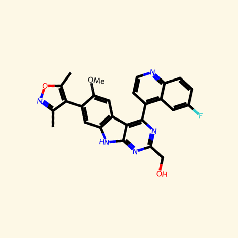 COc1cc2c(cc1-c1c(C)noc1C)[nH]c1nc(CO)nc(-c3ccnc4ccc(F)cc34)c12